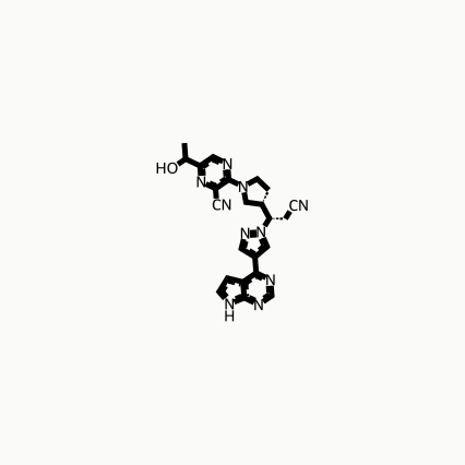 CC(O)c1cnc(N2CC[C@H]([C@H](CC#N)n3cc(-c4ncnc5[nH]ccc45)cn3)C2)c(C#N)n1